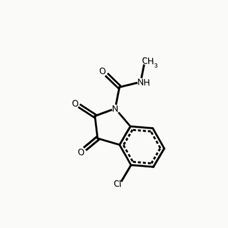 CNC(=O)N1C(=O)C(=O)c2c(Cl)cccc21